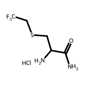 Cl.NC(=O)C(N)CSCC(F)(F)F